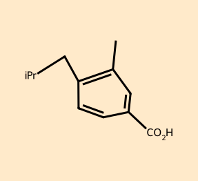 Cc1cc(C(=O)O)ccc1CC(C)C